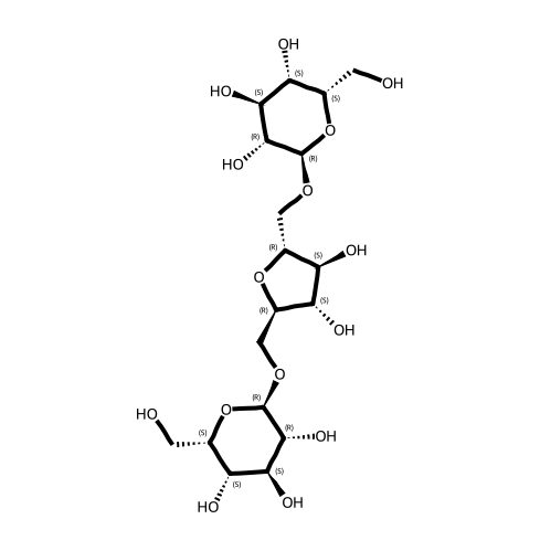 OC[C@@H]1O[C@@H](OC[C@H]2O[C@H](CO[C@@H]3O[C@@H](CO)[C@@H](O)[C@H](O)[C@H]3O)[C@@H](O)[C@@H]2O)[C@H](O)[C@@H](O)[C@@H]1O